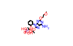 CCOC(C)(Oc1ccccc1-n1c(O)nc2c(N)nc(OCCOC)nc21)P(=O)(O)O